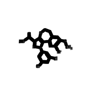 COc1cc2c(cc1Br)-c1c(c(C(=O)O)nn1-c1cc(Cl)cc(Cl)c1)OCC2